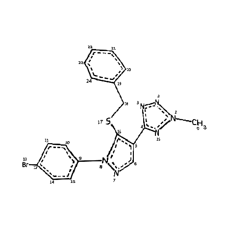 Cn1nnc(-c2cnn(-c3ccc(Br)cc3)c2SCc2ccccc2)n1